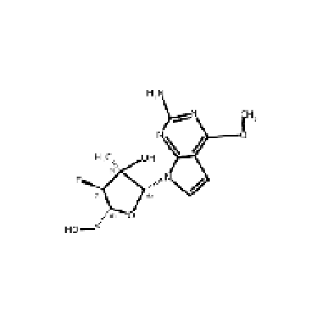 COc1nc(N)nc2c1ccn2[C@@H]1O[C@H](CO)[C@@H](F)[C@@]1(C)O